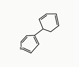 C1=CCC(c2ccncc2)C=C1